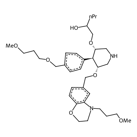 CCCC(O)CO[C@@H]1CNC[C@H](OCc2ccc3c(c2)N(CCCOC)CCO3)[C@H]1c1ccc(COCCCOC)cc1